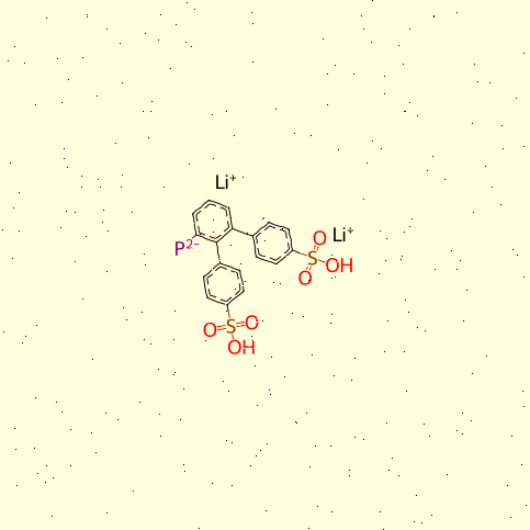 O=S(=O)(O)c1ccc(-c2cccc([P-2])c2-c2ccc(S(=O)(=O)O)cc2)cc1.[Li+].[Li+]